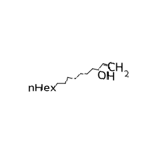 C=CC(O)CCCCCCCCCCCCC